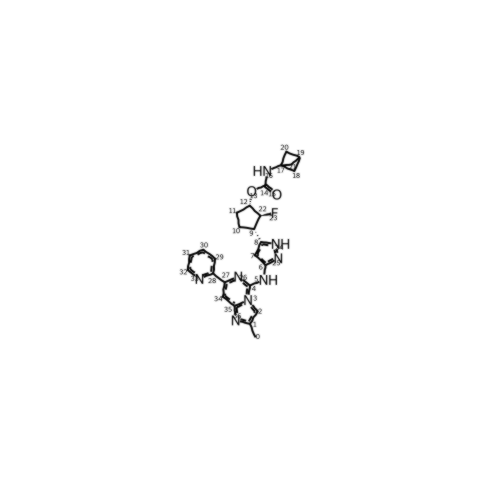 Cc1cn2c(Nc3cc([C@@H]4CC[C@H](OC(=O)NC56CC(C5)C6)[C@H]4F)[nH]n3)nc(-c3ccccn3)cc2n1